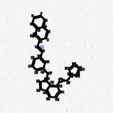 C(=C\c1ccc2ccccc2n1)/c1cccc(Cn2ccc3cccc(OCn4cnnn4)c32)c1